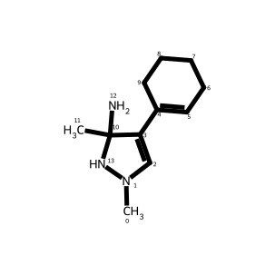 CN1C=C(C2=CCCCC2)C(C)(N)N1